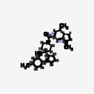 C=C/C=C(\C=C1/CC=CN1C)C(=O)N1CCC2(CC1)Nc1cc(C)ccc1-n1cccc12